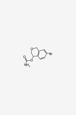 NC(=O)OC1COCc2cc(Br)ccc21